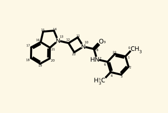 Cc1ccc(C)c(NC(=O)N2CC(N3CCc4ccccc43)C2)c1